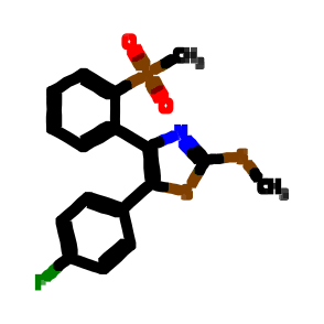 CSc1nc(-c2ccccc2S(C)(=O)=O)c(-c2ccc(F)cc2)s1